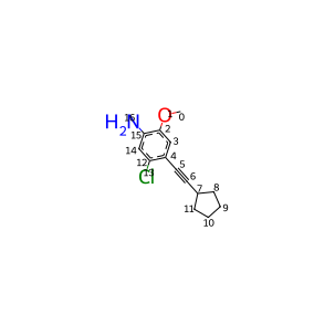 COc1cc(C#CC2CCCC2)c(Cl)cc1N